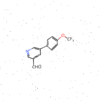 O=Cc1cncc(-c2ccc(OC(F)(F)F)cc2)c1